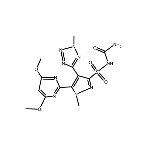 COc1cc(OC)nc(-c2c(-c3nnn(C)n3)c(S(=O)(=O)NC(N)=O)nn2C)n1